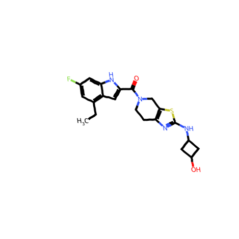 CCc1cc(F)cc2[nH]c(C(=O)N3CCc4nc(NC5CC(O)C5)sc4C3)cc12